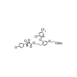 COCCOc1ccc(CCCOC(=O)NS(=O)(=O)c2ccc(Cl)cc2)c(Oc2ncc(C(F)(F)F)cc2Cl)c1